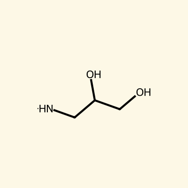 [NH]CC(O)CO